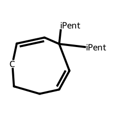 CCCC(C)C1(C(C)CCC)C=CCCCC=C1